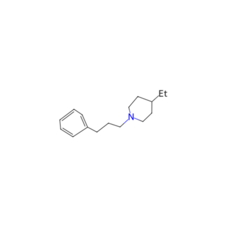 CCC1CCN(CCCc2ccccc2)CC1